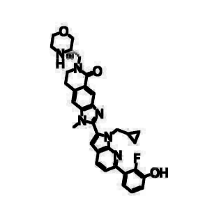 Cn1c(-c2cc3ccc(-c4cccc(O)c4F)nc3n2CC2CC2)nc2cc3c(cc21)CCN(C[C@H]1COCCN1)C3=O